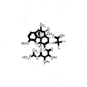 COc1ccc2c3c1O[C@H]1C(OC(=O)C(OC(C)=O)C(OC(C)=O)C(=O)OC(C)C(=O)O)=CC[C@@]4(O)[C@@H](C2)N(C)CC[C@]314.O=C(O)C(F)(F)F